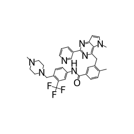 Cc1ccc(C(=O)Nc2ccc(CN3CCN(C)CC3)c(C(F)(F)F)c2)cc1Cc1nc(-c2cccnc2)nc2ccn(C)c12